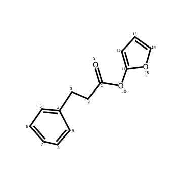 O=C(CCc1ccccc1)Oc1ccco1